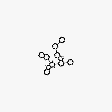 c1ccc(-c2cccc(-c3ccc4c(c3)oc3c(-c5ccccc5)ccc(-c5nc(-c6ccc7ccccc7c6)c6sc7ccccc7c6n5)c34)c2)cc1